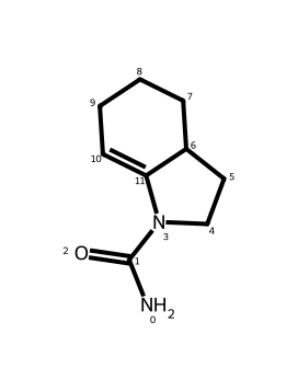 NC(=O)N1CCC2CCCC=C21